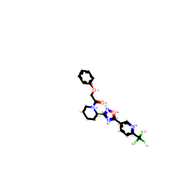 O=C(COc1ccccc1)N1CCCC[C@@H]1c1noc(-c2ccc(C(F)(F)F)nc2)n1